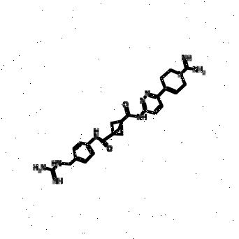 N=C(N)NCc1ccc(NC(=O)C23CC(C(=O)Nc4ccc(C5=CCN(C(=N)N)CC5)nn4)(C2)C3)cc1